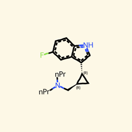 CCCN(CCC)C[C@@H]1C[C@H]1c1c[nH]c2ccc(F)cc12